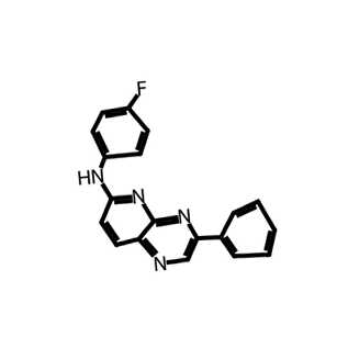 Fc1ccc(Nc2ccc3ncc(-c4ccccc4)nc3n2)cc1